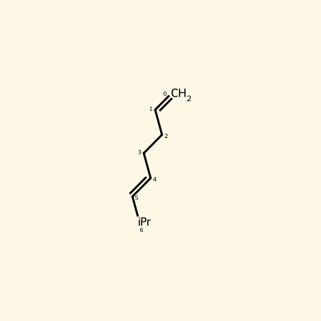 C=CCCC=CC(C)C